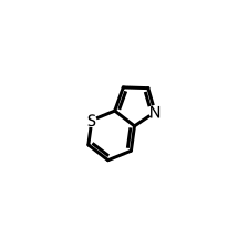 c1csc2ccnc-2c1